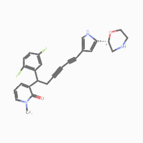 Cn1cccc(C(CC#CC#Cc2c[nH]c([C@H]3CNCCO3)c2)c2cc(F)ccc2F)c1=O